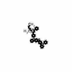 C=C/C=C\C=C(/C)c1nc(-c2ccccc2)cc(-c2ccc(-n3c4ccccc4c4cc5c(cc43)sc3cc4c(cc35)c3ccccc3n4-c3ccccc3)cc2)n1